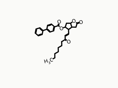 CCCCCCCC(=O)/C=C/C1C(OC(=O)c2ccc(-c3ccccc3)cc2)CC2OC(=O)CC21